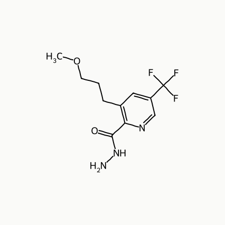 COCCCc1cc(C(F)(F)F)cnc1C(=O)NN